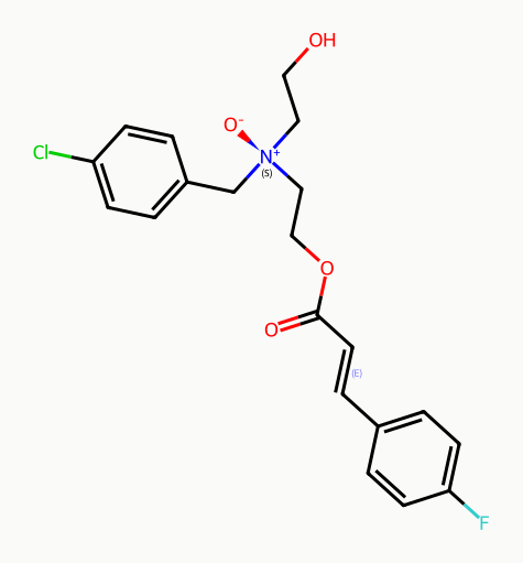 O=C(/C=C/c1ccc(F)cc1)OCC[N@@+]([O-])(CCO)Cc1ccc(Cl)cc1